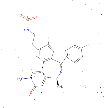 C[C@@H]1N=C(c2ccc(F)cc2)c2cc(F)c(CCN[SH](=O)=O)cc2-c2cn(C)c(=O)cc21